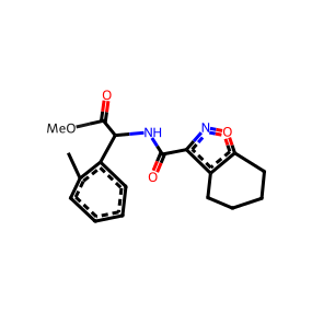 COC(=O)C(NC(=O)c1noc2c1CCCC2)c1ccccc1C